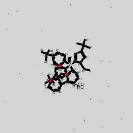 Cl.Cl.[CH2]=[Zr]([C]1=CC(C(C)(C)C)=CC1CC)([c]1ccc(C(C)(C)C)cc1)([c]1ccc(C(C)(C)C)cc1)[c]1cccc2c1Cc1ccccc1-2